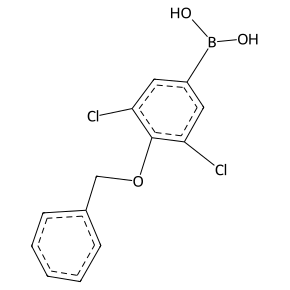 OB(O)c1cc(Cl)c(OCc2ccccc2)c(Cl)c1